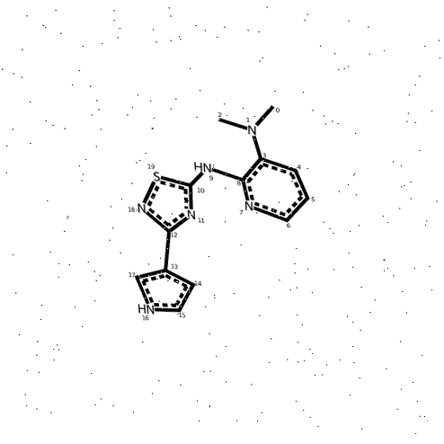 CN(C)c1cccnc1Nc1nc(-c2cc[nH]c2)ns1